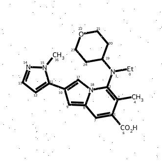 CCN(c1c(C)c(C(=O)O)cc2cc(-c3ccnn3C)cn12)C1CCOCC1